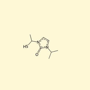 CC(C)n1ccn(C(C)S)c1=O